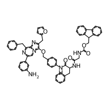 Nc1cccc(-c2cn3c(OCc4ccc(NC(=O)C(Cc5ccccc5)NC(=O)CNC(=O)OCC5c6ccccc6-c6ccccc65)cc4)c(Cc4ccco4)nc3c(Cc3ccccc3)n2)c1